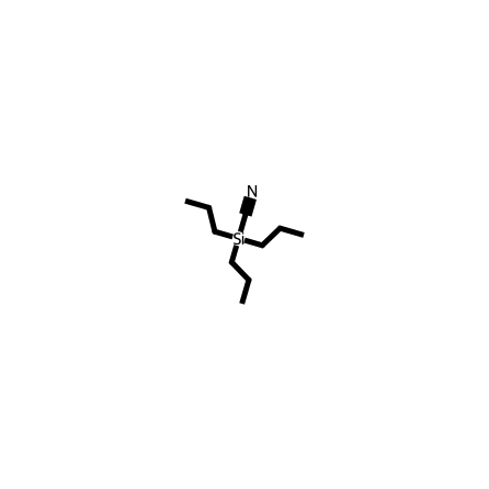 CCC[Si](C#N)(CCC)CCC